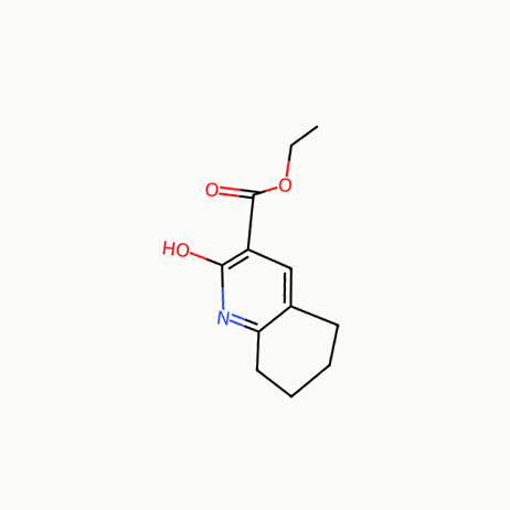 CCOC(=O)c1cc2c(nc1O)CCCC2